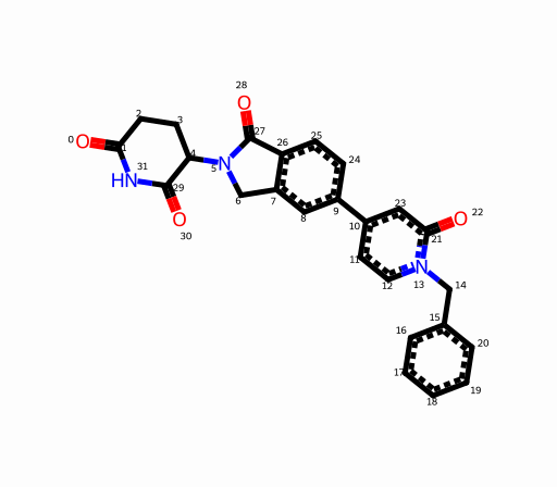 O=C1CCC(N2Cc3cc(-c4ccn(Cc5ccccc5)c(=O)c4)ccc3C2=O)C(=O)N1